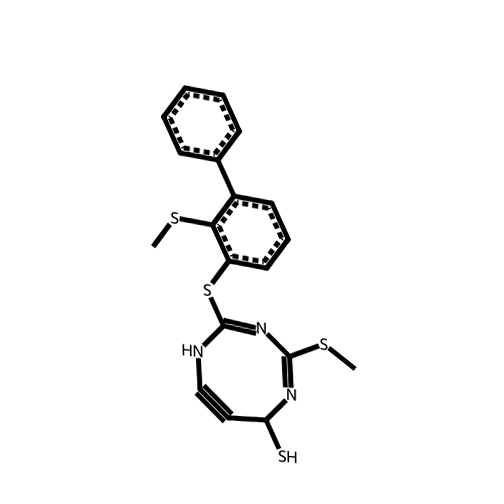 CSC1=N/C(S)C#CN/C(Sc2cccc(-c3ccccc3)c2SC)=N\1